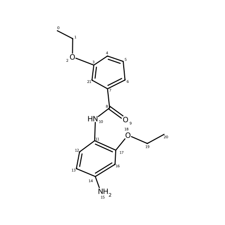 CCOc1cccc(C(=O)Nc2ccc(N)cc2OCC)c1